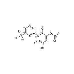 CC(=O)Oc1nc(Br)c(C)n(-c2cccc(C(F)(F)F)c2)c1=O